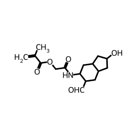 C=C(C)C(=O)OCC(=O)NC1CC2CC(O)CC2CC1C=O